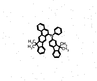 CC1(C)c2ccccc2-c2ccc(N(c3ccccc3)c3cc4ccccc4c4cc5c(cc34)-c3ccccc3C5(C)C)cc21